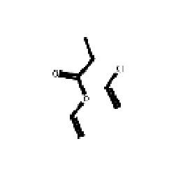 C=CCl.C=COC(=O)CC